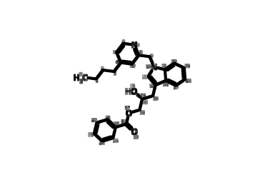 CCCCc1ccnc(Cn2cc(C[C@H](O)COC(=O)c3ccccc3)c3ccccc32)c1